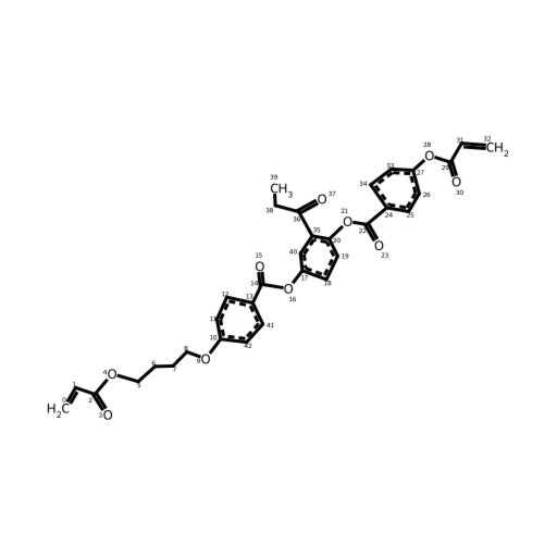 C=CC(=O)OCCCCOc1ccc(C(=O)Oc2ccc(OC(=O)c3ccc(OC(=O)C=C)cc3)c(C(=O)CC)c2)cc1